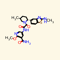 CNc1nc2cc([C@H]3CC[C@H](C)CN3C(=O)C(=O)Nc3cnc(OC)c(C(N)=O)c3)ccc2s1